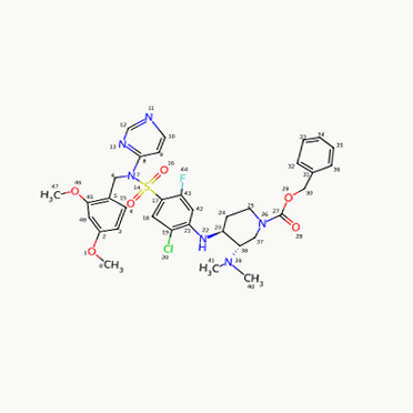 COc1ccc(CN(c2ccncn2)S(=O)(=O)c2cc(Cl)c(N[C@H]3CCN(C(=O)OCc4ccccc4)C[C@@H]3N(C)C)cc2F)c(OC)c1